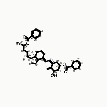 C=C1/C(=C\C=C2CCC[C@@]3(C)C2CC[C@@H]3[C@H](C)CCC(OC(=O)c2ccccc2)C(C)C)C[C@H](OC(=O)c2ccccc2)C[C@H]1O